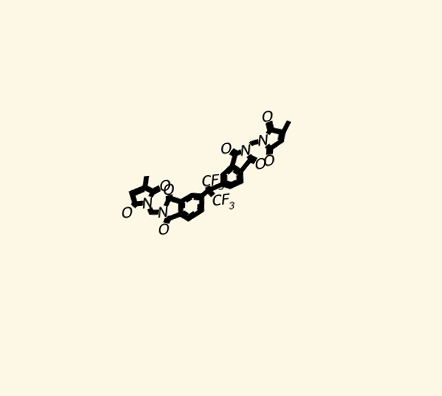 CC1=CC(=O)N(CN2C(=O)c3ccc(C(c4ccc5c(c4)C(=O)N(CN4C(=O)C=C(C)C4=O)C5=O)(C(F)(F)F)C(F)(F)F)cc3C2=O)C1=O